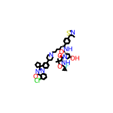 Cc1ncsc1-c1ccc([C@H](CCCCCN2CCC(c3ccc4c(c3)C3(CCCC3)c3nc(=O)c5c(Cl)cccc5n3-4)CC2)NC(=O)[C@@H]2C[C@@H](O)CN2C(=O)[C@@H](NC(=O)C2(F)CC2)C(C)(C)C)cc1